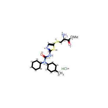 COC(=O)[C@H](N)CSc1cnc(NC(=O)N(C2CCCCC2)C2CCC(C)CC2)s1.Cl